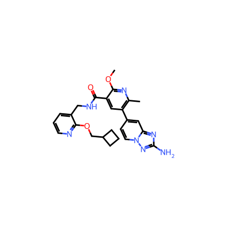 COc1nc(C)c(-c2ccn3nc(N)nc3c2)cc1C(=O)NCc1cccnc1OCC1CCC1